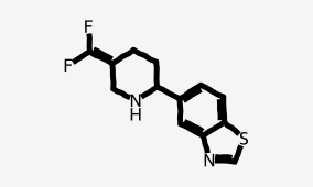 FC(F)=C1CCC(c2ccc3scnc3c2)NC1